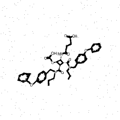 CCCN(Cc1ccc(Oc2ccccc2)cc1)C(=O)[C@H]1[C@@H](NC(=O)CCC(=O)O)[C@H](OC(=O)O)[C@@H]1C(=O)N(CCC)Cc1ccc(Oc2ccccc2)cc1